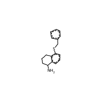 NC1CCCc2c(SCc3ccccc3)cccc21